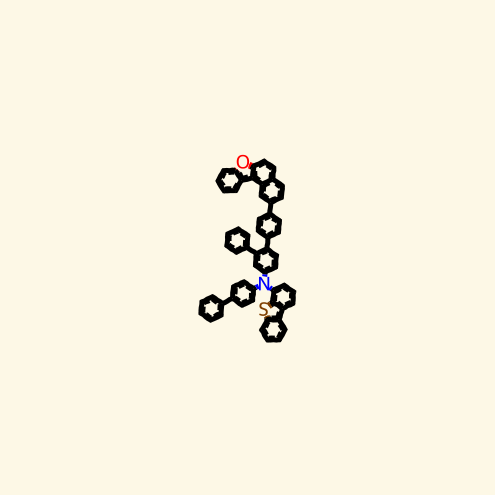 c1ccc(-c2ccc(N(c3ccc(-c4ccc(-c5ccc6ccc7oc8ccccc8c7c6c5)cc4)c(-c4ccccc4)c3)c3cccc4c3sc3ccccc34)cc2)cc1